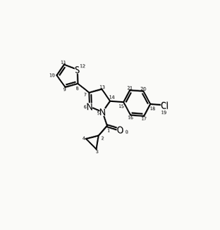 O=C(C1CC1)N1N=C(c2cccs2)CC1c1ccc(Cl)cc1